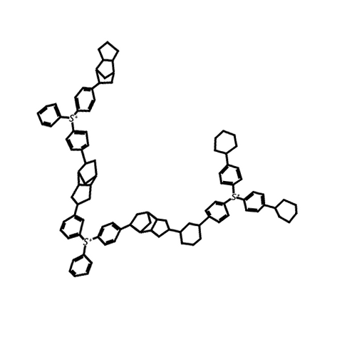 c1ccc([S+](c2ccc(C3CC4CC3C3CCCC43)cc2)c2ccc(C3CC4CC3C3CC(c5cccc([S+](c6ccccc6)c6ccc(C7CC8CC7C7CC(C9CCCC(c%10ccc([S+](c%11ccc(C%12CCCCC%12)cc%11)c%11ccc(C%12CCCCC%12)cc%11)cc%10)C9)CC87)cc6)c5)CC43)cc2)cc1